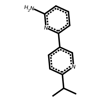 CC(C)c1ccc(-c2cccc(N)n2)cn1